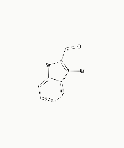 O=Cc1[se]c2ccccc2c1Br